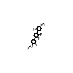 CCCc1ccc(-c2ccc(-c3ccc(OCF)c(F)c3)c(F)c2F)c(F)c1